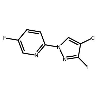 Fc1ccc(-n2cc(Cl)c(I)n2)nc1